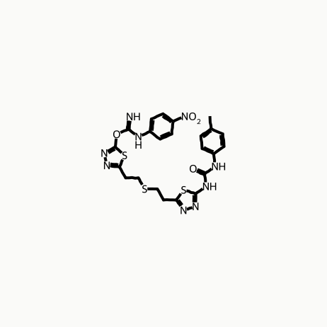 Cc1ccc(NC(=O)Nc2nnc(CCSCCc3nnc(OC(=N)Nc4ccc([N+](=O)[O-])cc4)s3)s2)cc1